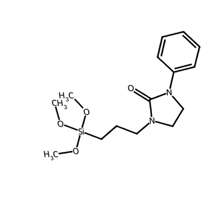 CO[Si](CCCN1CCN(c2ccccc2)C1=O)(OC)OC